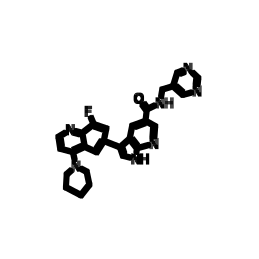 O=C(NCc1cncnc1)c1cnc2[nH]cc(-c3cc(F)c4nccc(N5CCCCC5)c4c3)c2c1